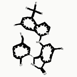 O=C1N[C@H](c2cc(F)ccc2Cl)c2c(Nc3nccc4c(C(F)(F)F)cc(F)cc34)cc(Br)cc21